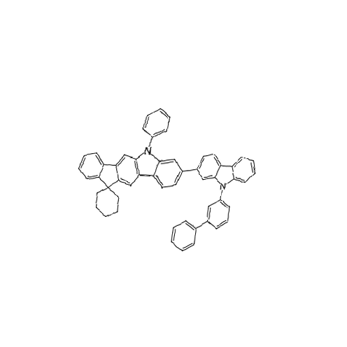 c1ccc(-c2cccc(-n3c4ccccc4c4ccc(-c5ccc6c7cc8c(cc7n(-c7ccccc7)c6c5)-c5ccccc5C85CCCCC5)cc43)c2)cc1